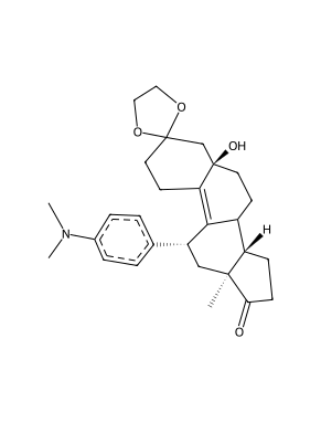 CN(C)c1ccc([C@H]2C[C@]3(C)C(=O)CC[C@H]3C3CC[C@@]4(O)CC5(CCC4=C32)OCCO5)cc1